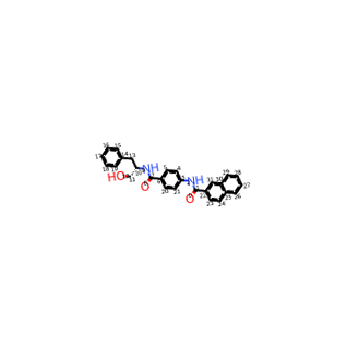 O=C(Nc1ccc(C(=O)N[C@H](CO)Cc2ccccc2)cc1)c1ccc2ccccc2c1